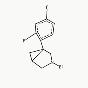 CCN1CC2CC2(c2ccc(F)cc2F)C1